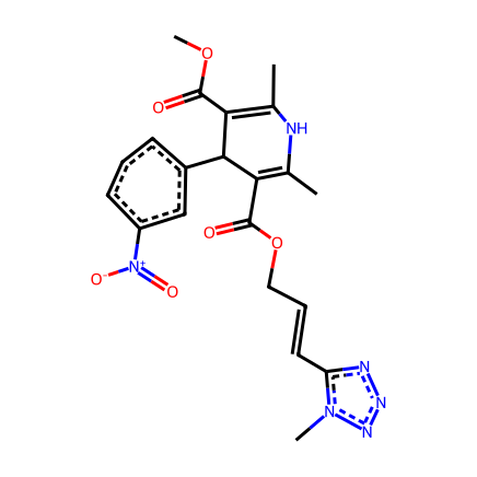 COC(=O)C1=C(C)NC(C)=C(C(=O)OCC=Cc2nnnn2C)C1c1cccc([N+](=O)[O-])c1